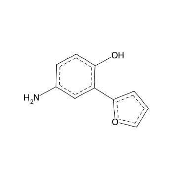 Nc1ccc(O)c(-c2ccco2)c1